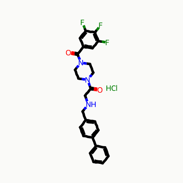 Cl.O=C(CNCc1ccc(-c2ccccc2)cc1)N1CCN(C(=O)c2cc(F)c(F)c(F)c2)CC1